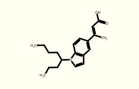 CCCCC(CCC)n1ccc2cc(/C(C)=C/C(=O)O)ccc21